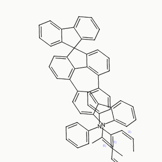 C=C/C=C(\C)n1c2ccccc2c2cc(-c3cccc4c3-c3c(-c5ccc(N(C(/C=C\C)=C/C)c6ccccc6)cc5)cccc3C43c4ccccc4-c4ccccc43)ccc21